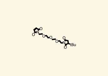 CC(C)(C)C1CC(=O)N(CCOCCOCCOCCN2C(=O)C=CC2=O)C1=O